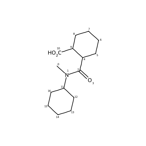 CN(C(=O)C1CCCCC1C(=O)O)C1CCCCC1